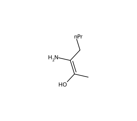 CCCC/C(N)=C(\C)O